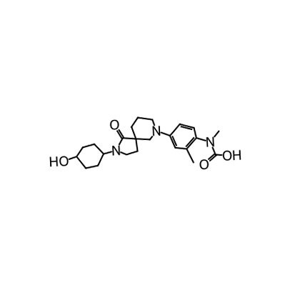 Cc1cc(N2CCCC3(CCN(C4CCC(O)CC4)C3=O)C2)ccc1N(C)C(=O)O